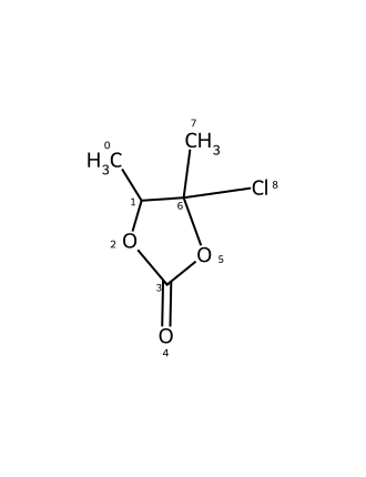 CC1OC(=O)OC1(C)Cl